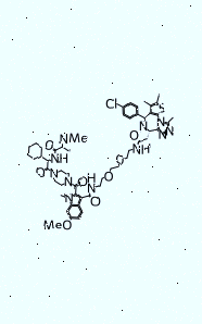 CNC(C)C(=O)NC(C(=O)N1CCN(C(=O)c2c(C(=O)NCCOCCOCCNC(=O)C[C@@H]3N=C(c4ccc(Cl)cc4)c4c(sc(C)c4C)-n4c(C)nnc43)c3ccc(OC)cc3n2C)CC1)C1CCCCC1